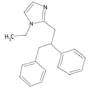 CCn1ccnc1CC(Cc1ccccc1)c1ccccc1